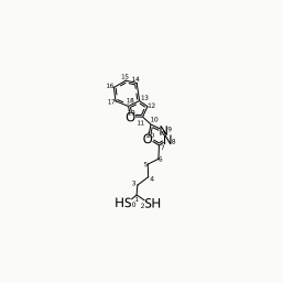 SC(S)CCCCc1nnc(-c2cc3ccccc3o2)o1